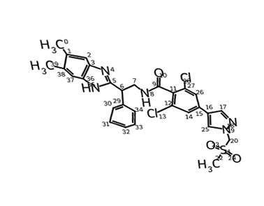 Cc1cc2nc(C(CNC(=O)c3c(Cl)cc(-c4cnn(CS(C)(=O)=O)c4)cc3Cl)c3ccccc3)[nH]c2cc1C